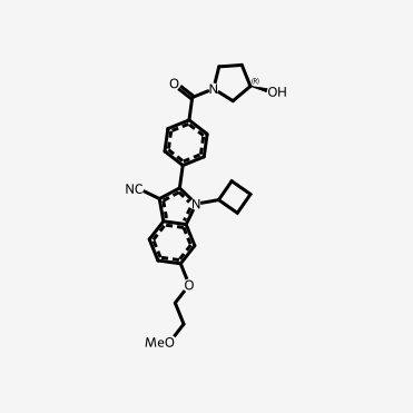 COCCOc1ccc2c(C#N)c(-c3ccc(C(=O)N4CC[C@@H](O)C4)cc3)n(C3CCC3)c2c1